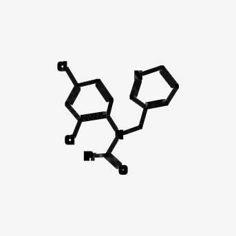 CC(C)C(=O)N(Cc1cccnc1)c1ccc(Cl)cc1Cl